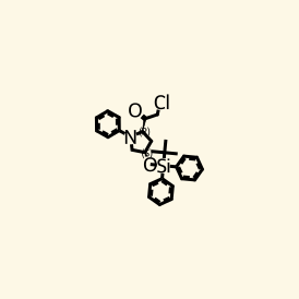 CC(C)(C)[Si](O[C@H]1C[C@H](C(=O)CCl)N(c2ccccc2)C1)(c1ccccc1)c1ccccc1